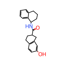 O=C(NC1CCCc2ccccc21)C1CCc2ccc(O)cc2C1